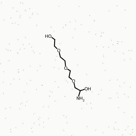 NC(O)COCCOCCOCCO